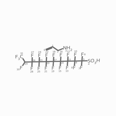 C=CCN.O=S(=O)(O)C(F)(F)C(F)(F)C(F)(F)C(F)(F)C(F)(F)C(F)(F)C(F)(F)C(F)(F)C(F)C(F)(F)F